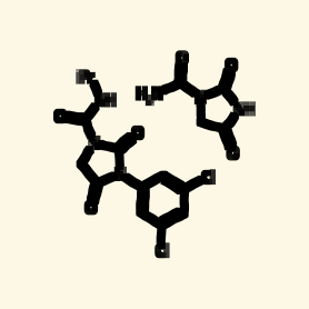 CC(C)NC(=O)N1CC(=O)N(c2cc(Cl)cc(Cl)c2)C1=O.NC(=O)N1CC(=O)NC1=O